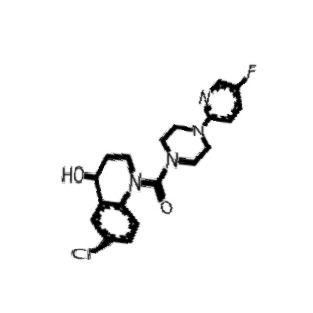 O=C(N1CCN(c2ccc(F)cn2)CC1)N1CCC(O)c2cc(Cl)ccc21